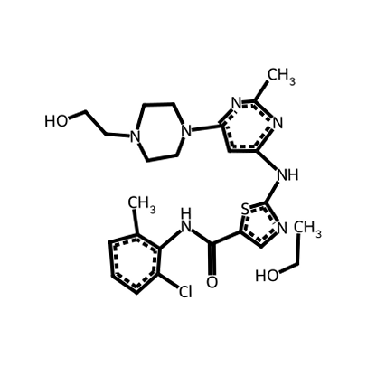 CCO.Cc1nc(Nc2ncc(C(=O)Nc3c(C)cccc3Cl)s2)cc(N2CCN(CCO)CC2)n1